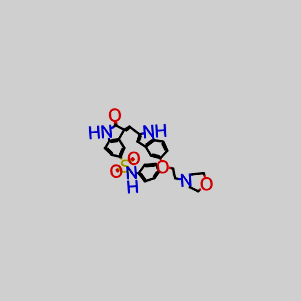 O=C1Nc2ccc(S(=O)(=O)Nc3ccccc3)cc2/C1=C\c1cc2cc(OCCN3CCOCC3)ccc2[nH]1